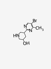 Cc1nc(C2CNCC(O)C2)ncc1Br